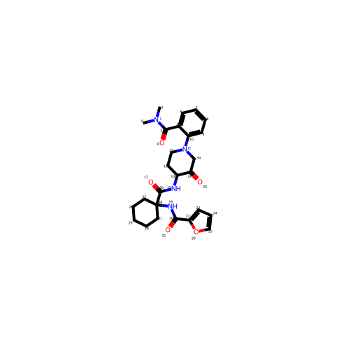 CN(C)C(=O)c1ccccc1N1CCC(NC(=O)C2(NC(=O)c3ccco3)CCCCC2)C(=O)C1